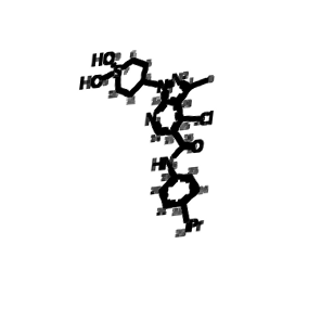 Cc1nn(C2CCS(O)(O)CC2)c2ncc(C(=O)Nc3ccc(C(C)C)cc3)c(Cl)c12